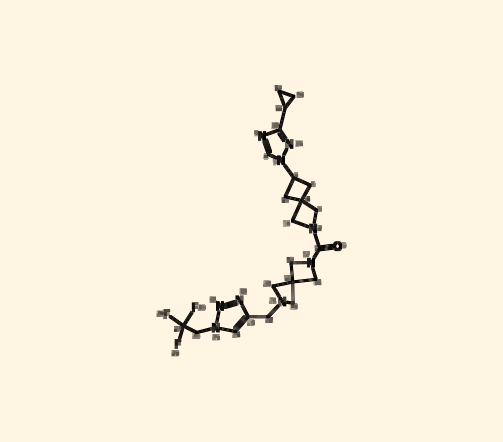 O=C(N1CC2(CC(n3cnc(C4CC4)n3)C2)C1)N1CC2(CN(Cc3cn(CC(F)(F)F)nn3)C2)C1